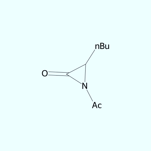 CCCCC1C(=O)N1C(C)=O